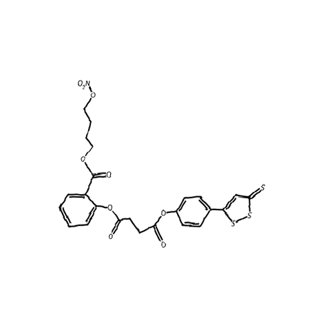 O=C(CCC(=O)Oc1ccccc1C(=O)OCCCCO[N+](=O)[O-])Oc1ccc(-c2cc(=S)ss2)cc1